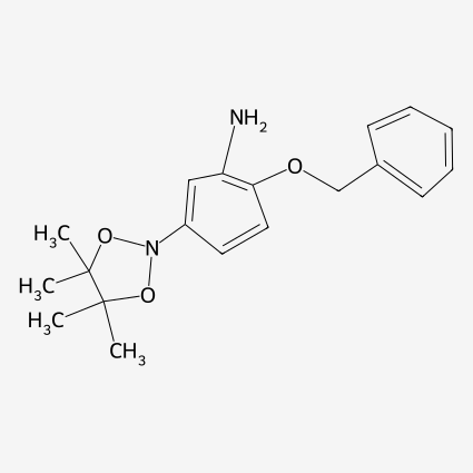 CC1(C)ON(c2ccc(OCc3ccccc3)c(N)c2)OC1(C)C